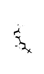 Cn1nc(C(F)(F)F)cc1-c1ncc([N+](=O)[O-])s1